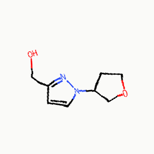 OCc1ccn(C2CCOC2)n1